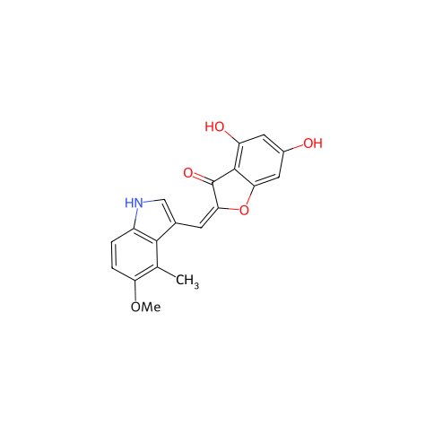 COc1ccc2[nH]cc(/C=C3/Oc4cc(O)cc(O)c4C3=O)c2c1C